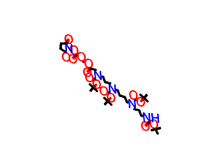 CC(C)(C)OC(=O)NCCCN(CCCCN(CCCN(CC(=O)OCOC(=O)ON1C(=O)CCC1=O)C(=O)OC(C)(C)C)C(=O)OC(C)(C)C)C(=O)OC(C)(C)C